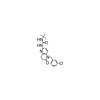 CC(C)(C)NC(=O)Nc1ccc2c(n1)CCC(=O)N2Cc1cccc(Cl)c1